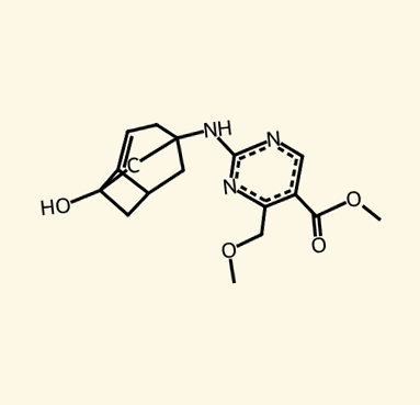 COCc1nc(NC23CC=C4C(C2)CC4(O)C3)ncc1C(=O)OC